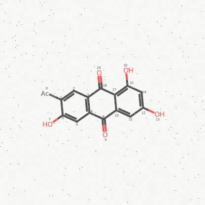 CC(=O)c1cc2c(cc1O)C(=O)c1cc(O)cc(O)c1C2=O